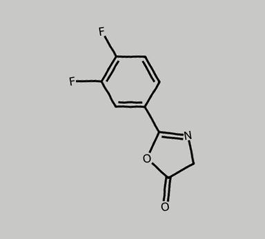 O=C1CN=C(c2ccc(F)c(F)c2)O1